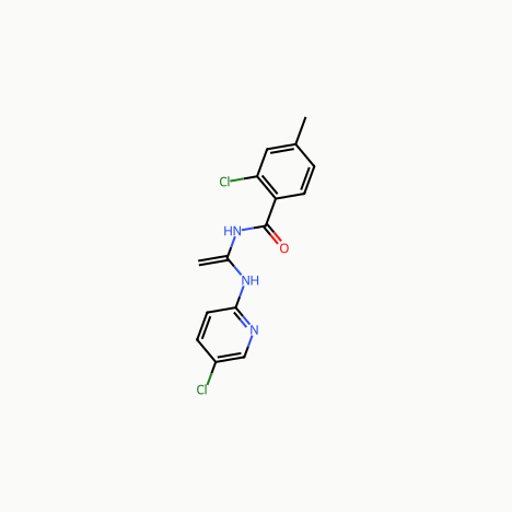 C=C(NC(=O)c1ccc(C)cc1Cl)Nc1ccc(Cl)cn1